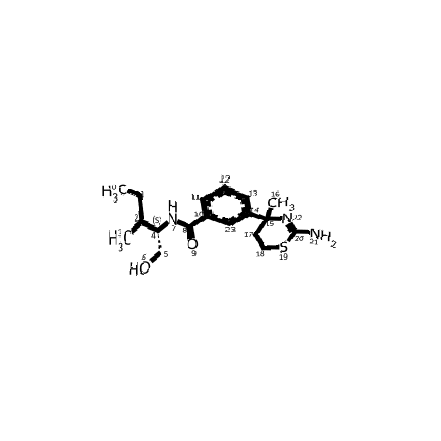 CCC(C)[C@@H](CO)NC(=O)c1cccc(C2(C)CCSC(N)=N2)c1